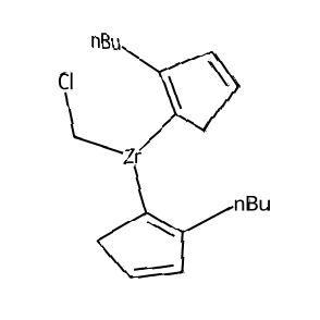 CCCCC1=[C]([Zr]([CH2]Cl)[C]2=C(CCCC)C=CC2)CC=C1